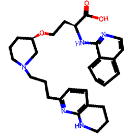 O=C(O)[C@H](CCO[C@@H]1CCCN(CCCc2ccc3c(n2)NCCC3)C1)Nc1nccc2ccccc12